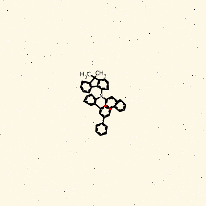 CC1(C)c2ccccc2-c2c(N(c3ccc4ccccc4c3)c3ccccc3-c3cccc(-c4ccccc4)c3)cccc21